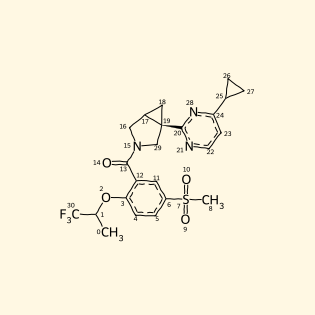 CC(Oc1ccc(S(C)(=O)=O)cc1C(=O)N1CC2C[C@]2(c2nccc(C3CC3)n2)C1)C(F)(F)F